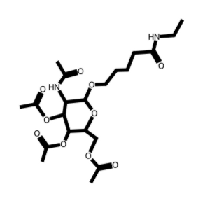 CCNC(=O)CCCCOC1OC(COC(C)=O)C(OC(C)=O)C(OC(C)=O)C1NC(C)=O